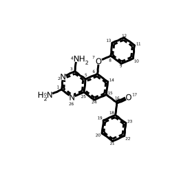 Nc1nc(N)c2c(Oc3ccccc3)cc(C(=O)c3ccccc3)cc2n1